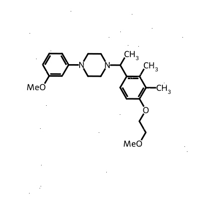 COCCOc1ccc(C(C)N2CCN(c3cccc(OC)c3)CC2)c(C)c1C